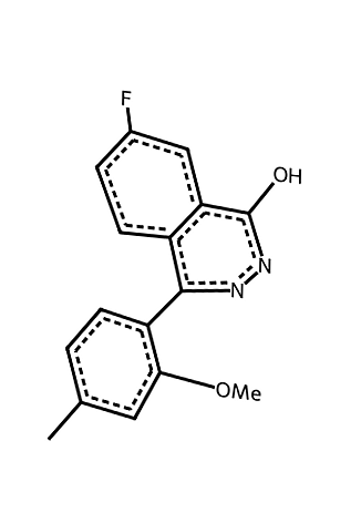 COc1cc(C)ccc1-c1nnc(O)c2cc(F)ccc12